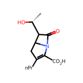 CCCC1=C(C(=O)O)N2C(=O)C([C@@H](C)O)C2C1